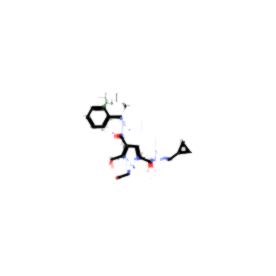 CC[C@@H](NC(=O)c1cc(C(=O)NCC2CC2)n2c1COCC2)c1ccccc1Cl